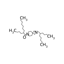 CCCCCCCC(CCCC)C(=O)N1CCC2(CC1)CN(CC(CCCC)CCCCC)C2